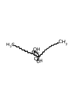 CCCCCCCCC=CCCCCCCCCC(CCCCCCCCC=CCCCCCCCC)(CC(=O)O)SCCC(=O)O